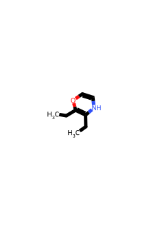 CCC1=C(CC)OC=CN1